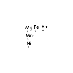 [Ba].[Fe].[Mg].[Mn].[Ni]